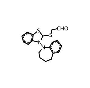 O=CCSC1Sc2ccccc2N1N1CCCCc2ccccc21